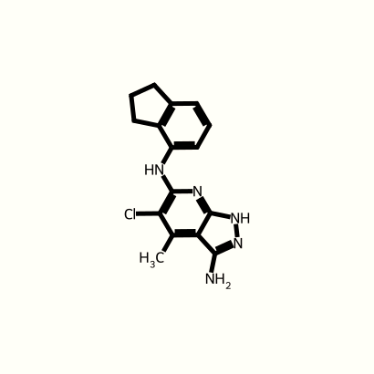 Cc1c(Cl)c(Nc2cccc3c2CCC3)nc2[nH]nc(N)c12